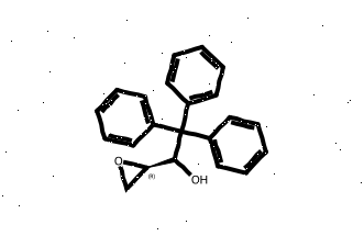 OC([C@H]1CO1)C(c1ccccc1)(c1ccccc1)c1ccccc1